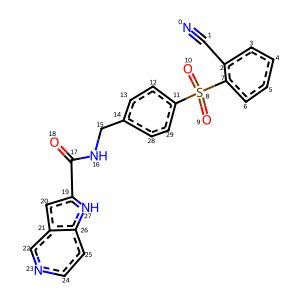 N#Cc1ccccc1S(=O)(=O)c1ccc(CNC(=O)c2cc3cnccc3[nH]2)cc1